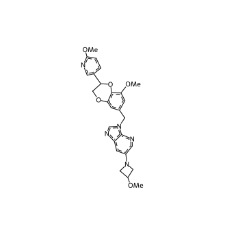 COc1ccc(C2COc3cc(Cn4cnc5cc(N6CC(OC)C6)cnc54)cc(OC)c3O2)cn1